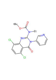 CCN(C(=O)OC(C)(C)C)c1nc2c(Cl)ccc(Cl)c2c(=O)n1-c1cccnc1